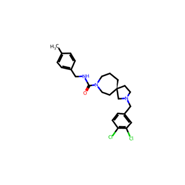 Cc1ccc(CNC(=O)N2CCC[C@]3(CCN(Cc4ccc(Cl)c(Cl)c4)C3)CC2)cc1